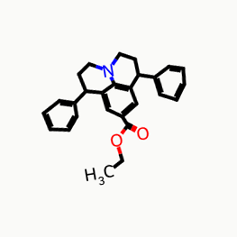 CCOC(=O)c1cc2c3c(c1)C(c1ccccc1)CCN3CCC2c1ccccc1